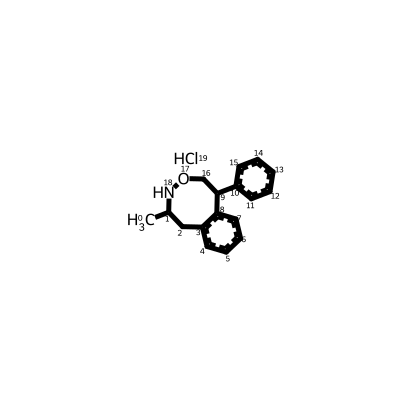 CC1Cc2ccccc2C(c2ccccc2)CON1.Cl